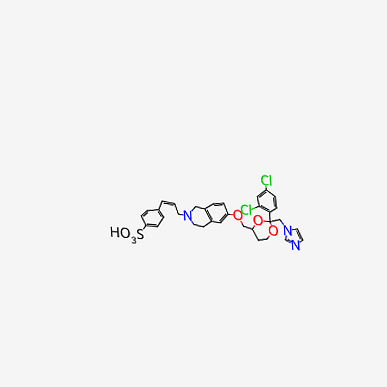 O=S(=O)(O)c1ccc(/C=C\CN2CCc3cc(OCC4CCOC(Cn5ccnc5)(c5ccc(Cl)cc5Cl)O4)ccc3C2)cc1